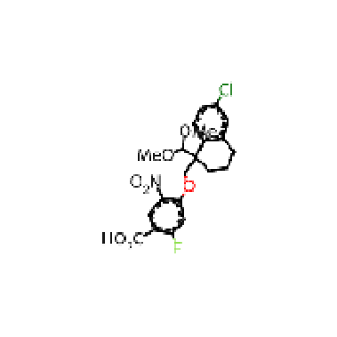 COC(OC)C1(COc2cc(F)c(C(=O)O)cc2[N+](=O)[O-])CCCc2cc(Cl)ccc21